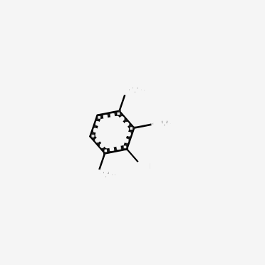 COc1ccc(OC)c(OC)c1S